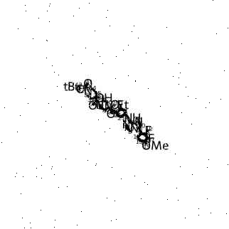 CCc1cc(Nc2nccn3c(-c4ccc(OC)c(F)c4F)cnc23)ccc1S(=O)(=O)N1CCN(C(=O)C2(O)CCN(C(=O)OC(C)(C)C)CC2)CC1